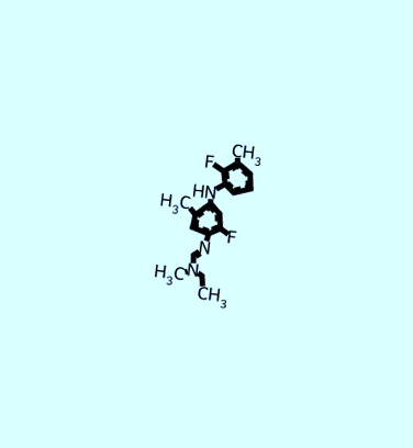 CCN(C)C=Nc1cc(C)c(Nc2cccc(C)c2F)cc1F